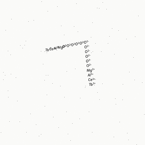 [Al+3].[Al+3].[Ce+3].[Ce+3].[Mg+2].[Mg+2].[O-2].[O-2].[O-2].[O-2].[O-2].[O-2].[O-2].[O-2].[O-2].[O-2].[O-2].[Tb+3].[Tb+3]